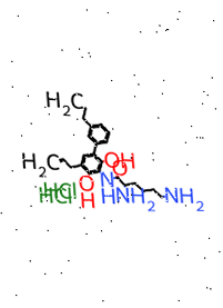 C=CCc1cccc(-c2cc(CC=C)c(O)c(NC(=O)[C@@H](N)CCCCN)c2O)c1.Cl.Cl